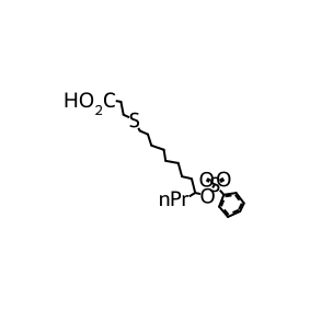 CCCC(CCCCCCCCSCCC(=O)O)OS(=O)(=O)c1ccccc1